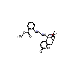 C/C=C1\C2C=C(C)CC1(/N=C/C=C/c1ccccc1C(=O)OCCC)c1ccc(=O)[nH]c1C2